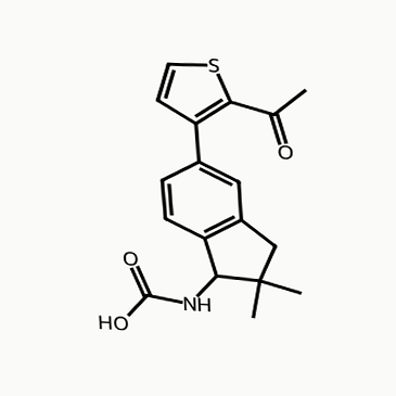 CC(=O)c1sccc1-c1ccc2c(c1)CC(C)(C)C2NC(=O)O